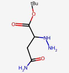 CC(C)(C)OC(=O)C(CC(N)=O)NN